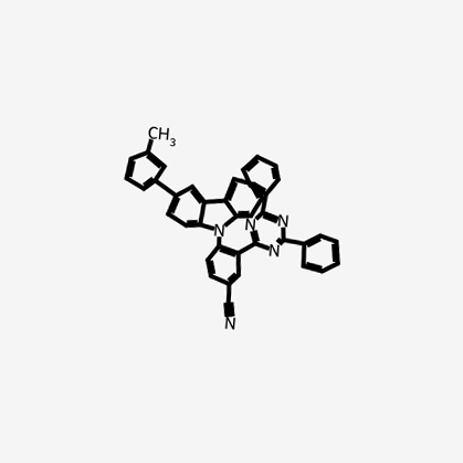 Cc1cccc(-c2ccc3c(c2)c2ccccc2n3-c2ccc(C#N)cc2-c2nc(-c3ccccc3)nc(-c3ccccc3)n2)c1